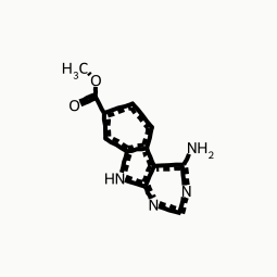 COC(=O)c1ccc2c(c1)[nH]c1ncnc(N)c12